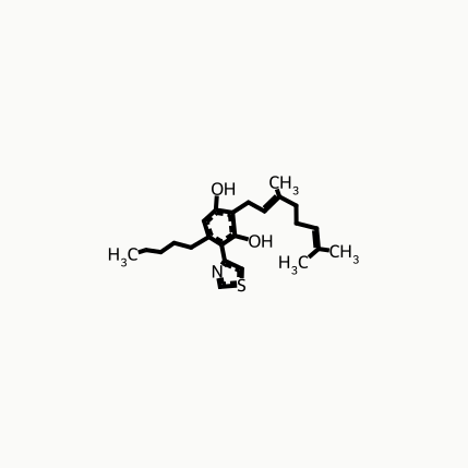 CCCCCc1cc(O)c(C/C=C(\C)CCC=C(C)C)c(O)c1-c1cscn1